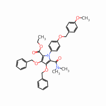 CCOC(=O)c1c(OCc2ccccc2)c(OCc2ccccc2)c(C(=O)N(C)C)n1-c1ccc(OCc2ccc(OC)cc2)cc1